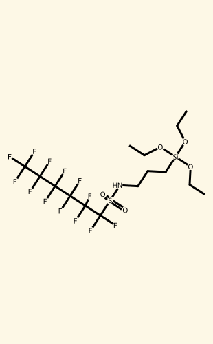 CCO[Si](CCCNS(=O)(=O)C(F)(F)C(F)(F)C(F)(F)C(F)(F)C(F)(F)C(F)(F)F)(OCC)OCC